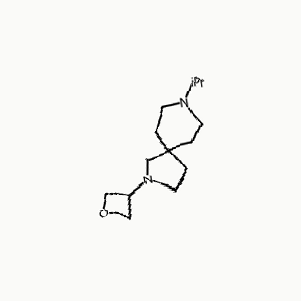 CC(C)N1CCC2(CC1)CCN(C1COC1)C2